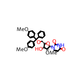 COc1ccc(C(OC[C@H]2O[C@@H](n3ccc(=O)[nH]c3=O)[C@H](OC)[C@@H]2O)(c2ccccc2)c2ccc(OC)cc2)cc1